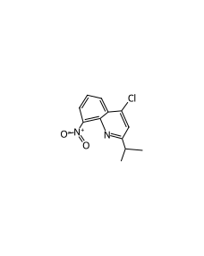 CC(C)c1cc(Cl)c2cccc([N+](=O)[O-])c2n1